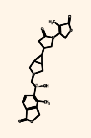 CC1=C(N2CC(C3C4CN(C[C@H](O)c5ccc6c(c5C)COC6=O)CC43)CC2=O)COC1=O